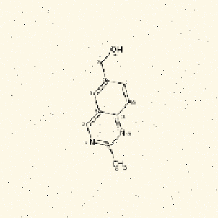 Cc1ncc2cc(CO)ccc2n1